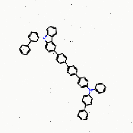 c1ccc(-c2ccc(N(c3ccccc3)c3ccc(-c4ccc(-c5ccc(-c6ccc7c(c6)c6ccccc6n7-c6cccc(-c7ccccc7)c6)cc5)cc4)cc3)cc2)cc1